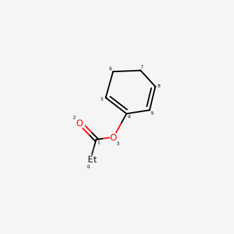 CCC(=O)OC1=CCCC=C1